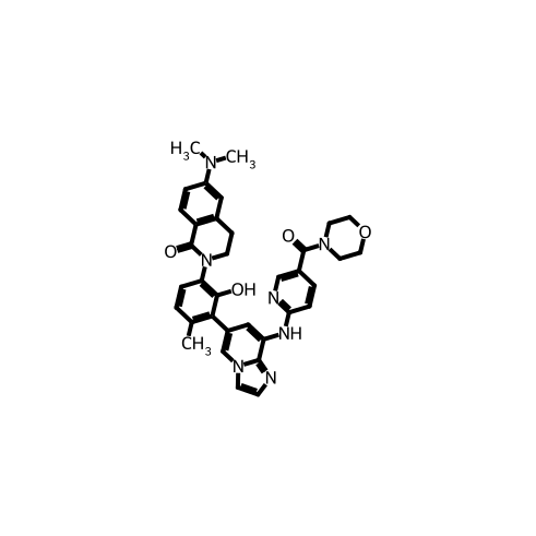 Cc1ccc(N2CCc3cc(N(C)C)ccc3C2=O)c(O)c1-c1cc(Nc2ccc(C(=O)N3CCOCC3)cn2)c2nccn2c1